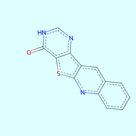 O=c1[nH]cnc2c1sc1nc3ccccc3cc12